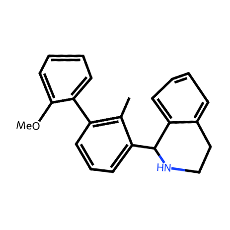 COc1ccccc1-c1cccc(C2NCCc3ccccc32)c1C